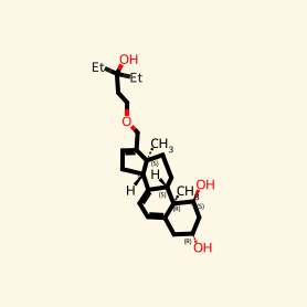 CCC(O)(CC)CCOCC1=CC[C@H]2C3=CC=C4C[C@@H](O)C[C@H](O)[C@]4(C)[C@H]3CC[C@]12C